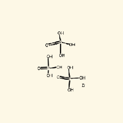 O=P(O)(O)O.O=P(O)(O)O.O=P(O)(O)O.[Zr]